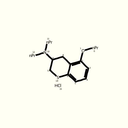 CCCOc1cccc2c1CC(N(CCC)CCC)CS2.Cl